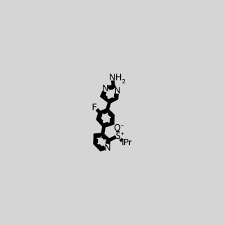 CC(C)[S+]([O-])c1ncccc1-c1ccc(-c2cnc(N)nc2)c(F)c1